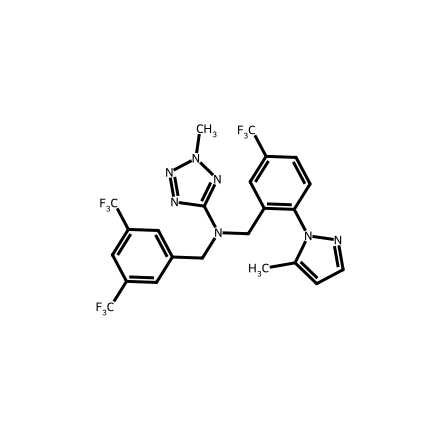 Cc1ccnn1-c1ccc(C(F)(F)F)cc1CN(Cc1cc(C(F)(F)F)cc(C(F)(F)F)c1)c1nnn(C)n1